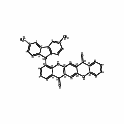 Cc1ccc2c(c1)c1cc(C)ccc1n2-c1cccc2c(=O)c3cc4oc5ccccc5c(=O)c4cc3oc12